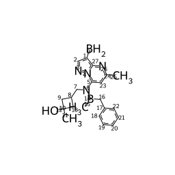 Bc1cnn2c(N(CC3CC(C)(O)C3)B(C)Cc3ccccc3)cc(C)nc12